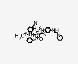 CCNc1ccc(C#N)cc1N=C1SC(=C2Sc3cc(NCCN4CCCCC4)ccc3N2C)C(=O)N1Cc1ccccc1